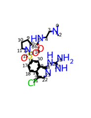 CN(C)CCNC(=O)[C@H]1CCCN1S(=O)(=O)c1ccc2c(Cl)cnc(NC(=N)N)c2c1